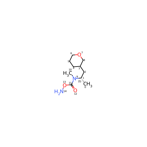 C[C@@H](CC1CCCOC1)N(C)C(=O)ON